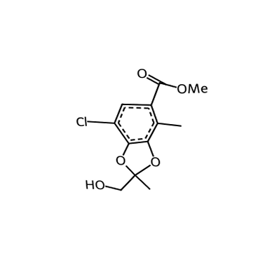 COC(=O)c1cc(Cl)c2c(c1C)OC(C)(CO)O2